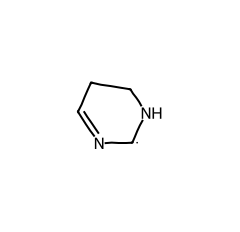 [CH]1N=CCCN1